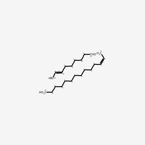 C/C=C\CCCCCCCCCCC(=O)O.CCCC/C=C/CCCCCC=O